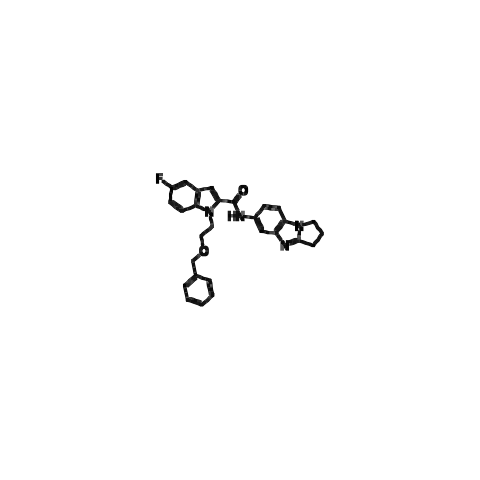 O=C(Nc1ccc2c(c1)nc1n2CCC1)c1cc2cc(F)ccc2n1CCOCc1ccccc1